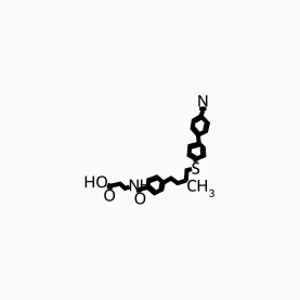 CC(CCc1ccc(C(=O)NCCC(=O)O)cc1)CSc1ccc(-c2ccc(C#N)cc2)cc1